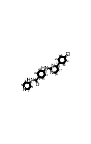 O=C(Nc1ccncc1)c1ccc(Nc2nccc(-c3ccc(Cl)cc3)n2)cc1